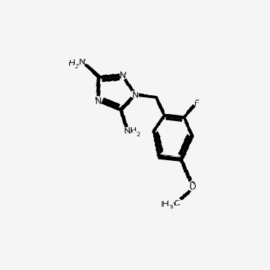 COc1ccc(Cn2nc(N)nc2N)c(F)c1